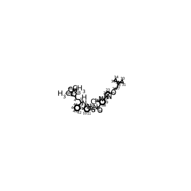 CN1CC(CCC(Nc2cccc(SNC(=O)c3ccc(-n4ccc(OCCC5C6(CC6)C56CC6)n4)nc3Cl)n2)c2ccccc2)CC1(C)C